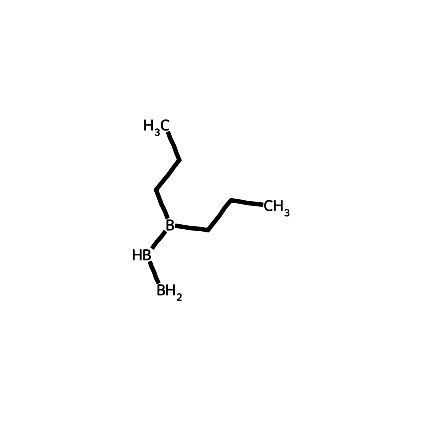 BBB(CCC)CCC